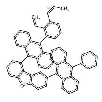 C=Cc1c(/C=C\C)cccc1-c1c2ccccc2c(-c2cccc3oc4ccc(-c5c6ccccc6c(-c6ccccc6)c6ccccc56)cc4c23)c2ccccc12